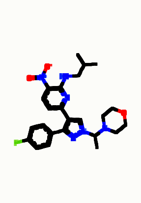 CC(C)CNc1nc(-c2cn(C(C)N3CCOCC3)nc2-c2ccc(F)cc2)ccc1[N+](=O)[O-]